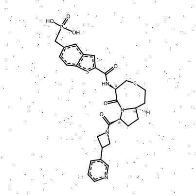 O=C(N[C@H]1CCCC[C@H]2CC[C@@H](C(=O)N3CC(c4cccnc4)C3)N2C1=O)c1cc2cc(CP(=O)(O)O)ccc2s1